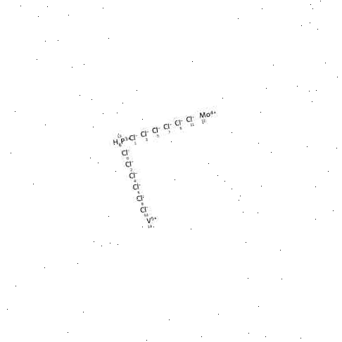 [Cl-].[Cl-].[Cl-].[Cl-].[Cl-].[Cl-].[Cl-].[Cl-].[Cl-].[Cl-].[Cl-].[Cl-].[Mo+4].[PH6+3].[V+5]